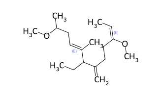 C=C(CC/C(=C\C)OC)C(CC)/C(C)=C/CC(C)OC